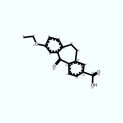 CCOc1ccc2c(c1)C(=O)c1ccc(C(=O)O)cc1CC2